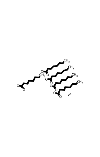 CCCCCCCC(=O)[O-].CCCCCCCC(=O)[O-].CCCCCCCC(=O)[O-].CCCCCCCC(=O)[O-].CCCCCCCC(=O)[O-].[V+5]